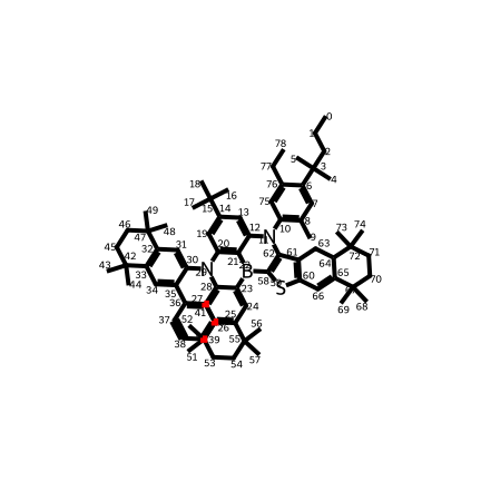 CCCC(C)(C)c1cc(C)c(N2c3cc(C(C)(C)C)cc4c3B(c3cc5c(cc3N4c3cc4c(cc3-c3c#cccc3)C(C)(C)CCC4(C)C)C(C)(C)CCC5(C)C)c3sc4c(c32)CC2C(=C4)C(C)(C)CCC2(C)C)cc1CC